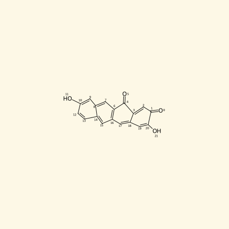 O=C1C=C2C(=O)c3cc4cc(O)ccc4cc3C=C2C=C1O